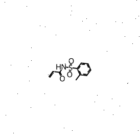 C=CC(=O)NS(=O)(=O)c1ccccc1C